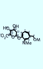 CNC1=CC(COC)=C=CC=C1O[C@H]1C[C@@H](O)[C@H](O)[C@@H](C(=O)O)O1